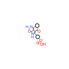 NC1=C2C(=O)NC(c3ccc(OS(=O)O)cc3)=C2C(=O)c2ccccc21